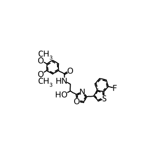 COc1ccc(C(=O)NCC(O)c2nc(-c3csc4c(F)cccc34)co2)cc1OC